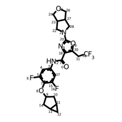 O=C(Nc1cc(F)c(OC2CC3CC3C2)c(F)c1)c1nc(N2CC3COCC3C2)oc1CC(F)(F)F